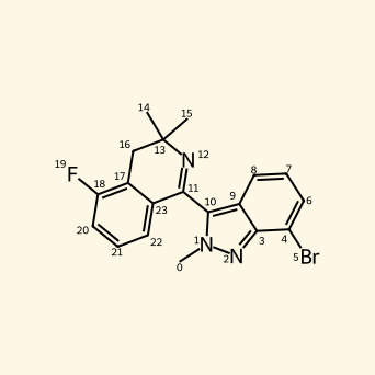 Cn1nc2c(Br)cccc2c1C1=NC(C)(C)Cc2c(F)cccc21